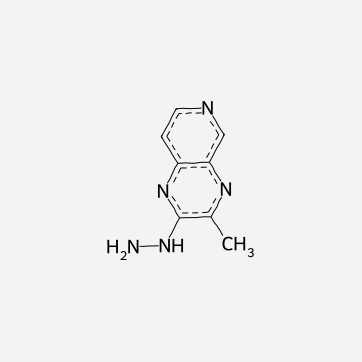 Cc1nc2cnccc2nc1NN